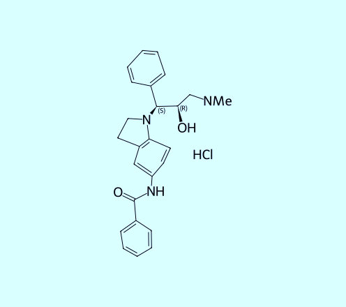 CNC[C@@H](O)[C@H](c1ccccc1)N1CCc2cc(NC(=O)c3ccccc3)ccc21.Cl